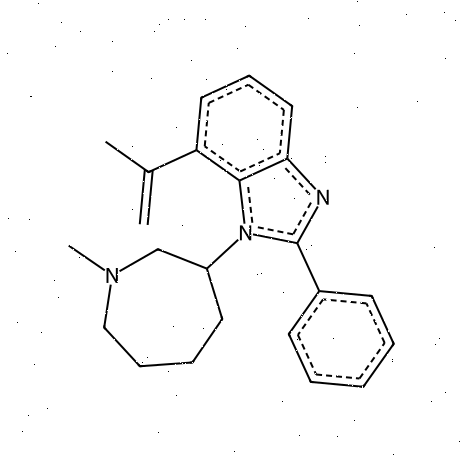 C=C(C)c1cccc2nc(-c3ccccc3)n(C3CCCCN(C)C3)c12